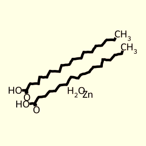 CCCCCCCCCCCCCCCCCC(=O)O.CCCCCCCCCCCCCCCCCC(=O)O.O.[Zn]